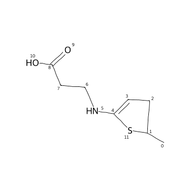 CC1CC=C(NCCC(=O)O)S1